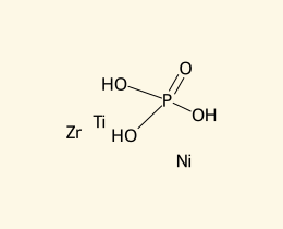 O=P(O)(O)O.[Ni].[Ti].[Zr]